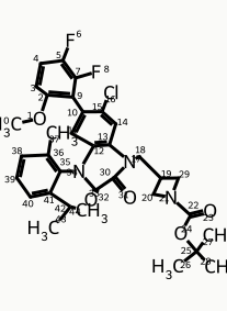 COc1ccc(F)c(F)c1-c1cc2c(cc1Cl)n(CC1CN(C(=O)OC(C)(C)C)C1)c(=O)c(=O)n2-c1c(C)cccc1C(C)C